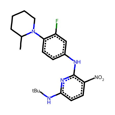 CC1CCCCN1c1ccc(Nc2nc(NC(C)(C)C)ccc2[N+](=O)[O-])cc1F